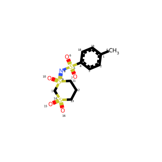 Cc1ccc(S(=O)(=O)N=S2(=O)CCCS(=O)(=O)C2)cc1